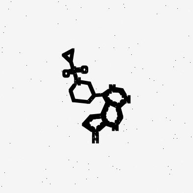 O=S(=O)(C1CC1)N1CCCC(c2ncnc3cnc4[nH]ccc4c23)C1